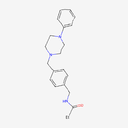 CCC(=O)NCc1ccc(CN2CCN(c3ccccc3)CC2)cc1